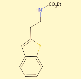 CCOC(=O)NCCc1cc2ccccc2s1